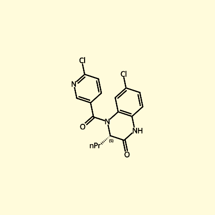 CCC[C@H]1C(=O)Nc2ccc(Cl)cc2N1C(=O)c1ccc(Cl)nc1